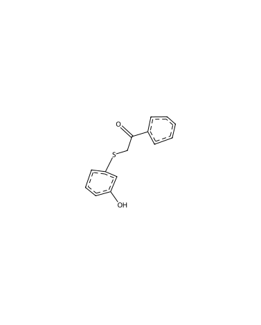 O=C(CSc1cccc(O)c1)c1ccccc1